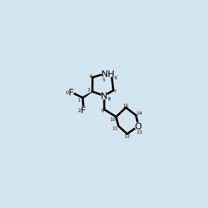 FC(F)[C@H]1CNCCN1CC1CCOCC1